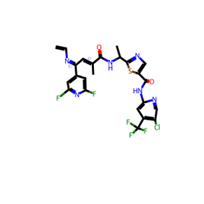 C=C/N=C(\C=C(/C)C(=O)NC(C)c1ncc(C(=O)Nc2cc(C(F)(F)F)c(Cl)cn2)s1)c1cc(F)nc(F)c1